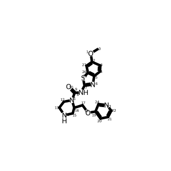 COc1ccc2nc(NC(=O)N3CCNCC3COc3cccnc3)sc2c1